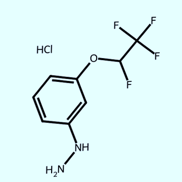 Cl.NNc1cccc(OC(F)C(F)(F)F)c1